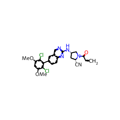 C=CC(=O)N1C[C@@H](Nc2ncc3cc(-c4c(Cl)c(OC)cc(OC)c4Cl)ccc3n2)C[C@H]1C#N